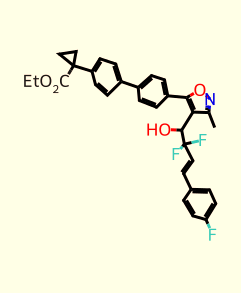 CCOC(=O)C1(c2ccc(-c3ccc(-c4onc(C)c4C(O)C(F)(F)C=Cc4ccc(F)cc4)cc3)cc2)CC1